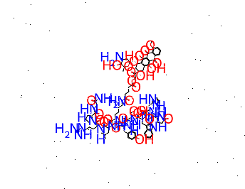 COc1cccc2c1C(=O)c1c(O)c3c(c(O)c1C2=O)C[C@@](O)(C(=O)COC(=O)CCCC(=O)NCCCC[C@@H](NC(=O)[C@@H](Cc1ccc(O)cc1)NC(=O)[C@H](CO)NC(=O)[C@H](Cc1c[nH]c2ccccc12)NC(=O)[C@H](Cc1ncc[nH]1)NC(=O)[C@@H]1CCC(=O)N1)C(=O)NC(CC(C)C)C(=O)NC(CCCNC(=N)N)C(=O)N1CCCC1C(=O)NCC(N)=O)C[C@@H]3O[C@H]1CC(N)[C@H](O)[C@H](C)O1